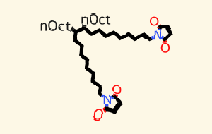 CCCCCCCCC(CCCCCCCCCN1C(=O)C=CC1=O)C(CCCCCCCC)CCCCCCCCCN1C(=O)C=CC1=O